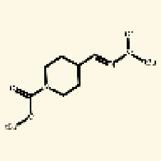 CC(C)(C)OC(=O)N1CCC(C=N[S+]([O-])C(C)(C)C)CC1